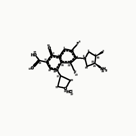 C[C@@H]1CN(c2c(F)cc3c(=O)c(C(=O)O)cn(C4COC4)c3c2F)C[C@@H]1N.Cl